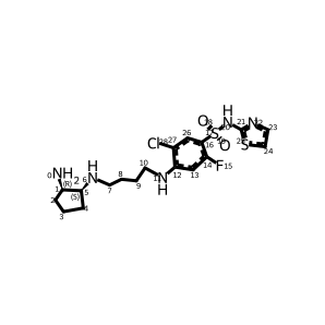 N[C@@H]1CCC[C@@H]1NCCCCNc1cc(F)c(S(=O)(=O)Nc2nccs2)cc1Cl